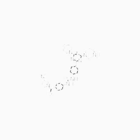 CN(C)C1CCN(C(=O)c2ccc(NC(=O)Nc3ccc(-c4nc(N5CCCNCC5)nc(N5CCOCC5)n4)cc3)cc2)C1